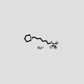 O=S(=O)([O-])SCCCCCCN1CCCCC1.[Na+]